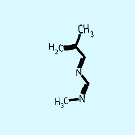 C=C(C)/C=N/C=N\C